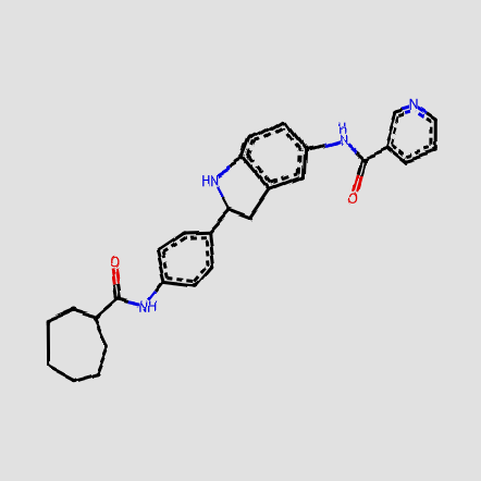 O=C(Nc1ccc2c(c1)CC(c1ccc(NC(=O)C3CCCCCC3)cc1)N2)c1cccnc1